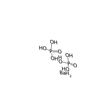 O=P(O)(O)O.O=P(O)(O)O.[BaH2]